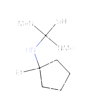 CCC1(NC([SiH3])(NC)NC)CCCC1